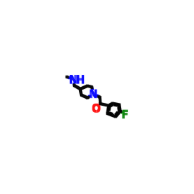 CNCC1CCN(CC(=O)c2ccc(F)cc2)CC1